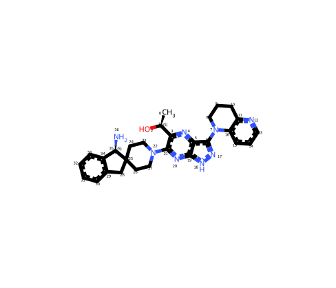 C[C@H](O)c1nc2c(N3CCCc4ncccc43)n[nH]c2nc1N1CCC2(CC1)Cc1ccccc1[C@H]2N